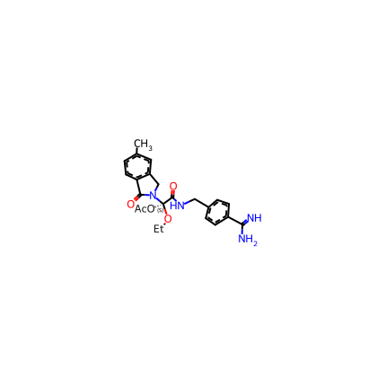 CCO[C@](OC(C)=O)(C(=O)NCc1ccc(C(=N)N)cc1)N1Cc2cc(C)ccc2C1=O